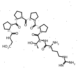 C[C@@H](O)[C@H](NC(=O)[C@@H](N)CCCNC(=N)N)C(=O)N1CCC[C@H]1C(=O)N1CCC[C@H]1C(=O)N1CCC[C@H]1C(=O)N1CCC[C@H]1C(=O)NCC(=O)O